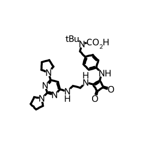 CC(C)(C)N(Cc1ccc(Nc2c(NCCNc3cc(N4CCCC4)nc(N4CCCC4)n3)c(=O)c2=O)cc1)C(=O)O